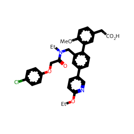 CCOc1ccc(-c2ccc(-c3cc(CC(=O)O)ccc3OC)c(CN(CC)C(=O)COc3ccc(Cl)cc3)c2)cn1